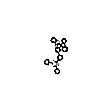 c1ccc(-c2nc(-c3ccccc3)nc(-c3cccc(-c4ccc5c(c4)C4(c6ccccc6-c6ccccc64)c4nc6ccccc6n4-5)c3)n2)cc1